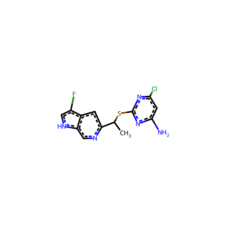 CC(Sc1nc(N)cc(Cl)n1)c1cc2c(F)c[nH]c2cn1